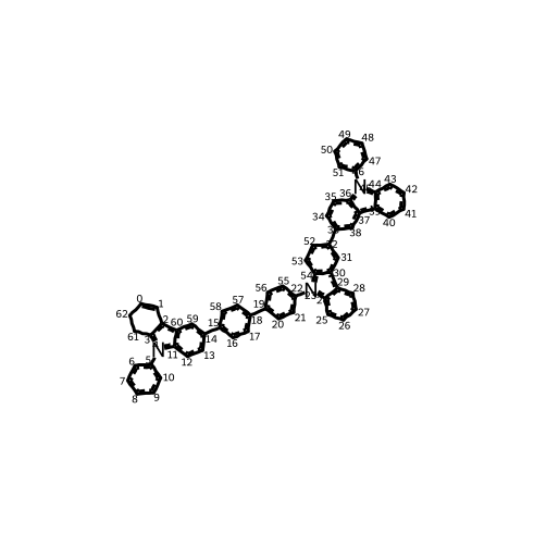 C1=Cc2c(n(-c3ccccc3)c3ccc(-c4ccc(-c5ccc(-n6c7ccccc7c7cc(-c8ccc9c(c8)c8ccccc8n9-c8ccccc8)ccc76)cc5)cc4)cc23)CC1